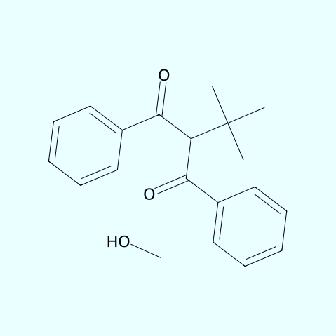 CC(C)(C)C(C(=O)c1ccccc1)C(=O)c1ccccc1.CO